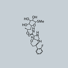 CSC1OC([C@H](NC(=O)[C@H]2NC[C@@H]3C=C(c4ccccc4F)CCO[C@@H]23)[C@H](C)Cl)C(O)C(O)C1O